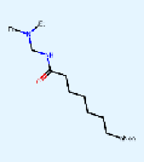 CCCCCCCCCCCCCCCC(=O)NCN(CC)CC